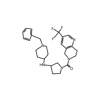 O=C(N1CCc2ncc(C(F)(F)F)cc2C1)N1CCC(NC2CCN(Cc3ccccc3)CC2)C1